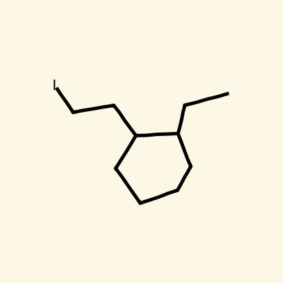 CCC1CCCCC1CCI